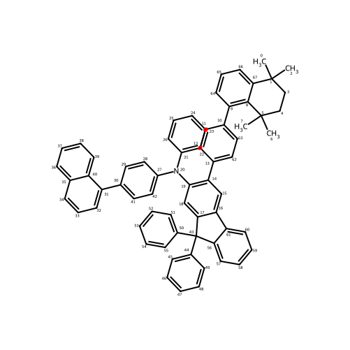 CC1(C)CCC(C)(C)c2c(-c3ccc(-c4cc5c(cc4N(c4ccccc4)c4ccc(-c6cccc7ccccc67)cc4)C(c4ccccc4)(c4ccccc4)c4ccccc4-5)cc3)cccc21